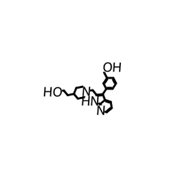 OCCC1CCN(Cc2[nH]c3ncccc3c2-c2cccc(CO)c2)CC1